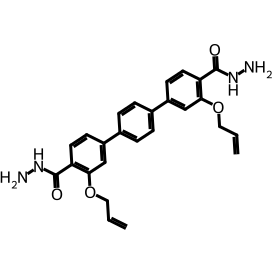 C=CCOc1cc(-c2ccc(-c3ccc(C(=O)NN)c(OCC=C)c3)cc2)ccc1C(=O)NN